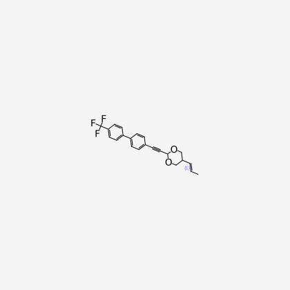 C/C=C/C1COC(C#Cc2ccc(-c3ccc(C(F)(F)F)cc3)cc2)OC1